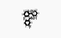 Fc1ccc(F)c(CNC2CCCNC2c2ccccc2)c1